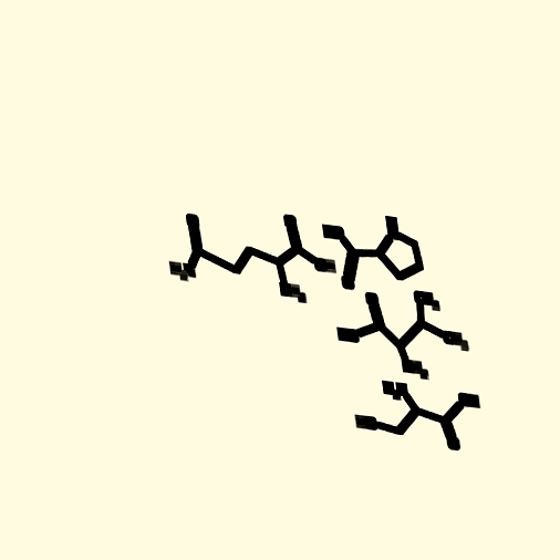 CC(C)C(N)C(=O)O.NC(=O)CCC(N)C(=O)O.NC(CO)C(=O)O.O=C(O)C1CCCN1